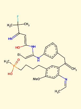 C=C(Cc1cccc(N/C(=C/CC)N/C(O)=C/C(=N)C(C)(C)F)c1)c1cc(CCCCP(C)(=O)O)c(OC)cc1/N=C\C